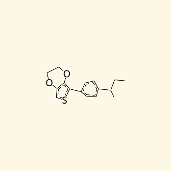 CCC(C)c1ccc(-c2scc3c2OCCO3)cc1